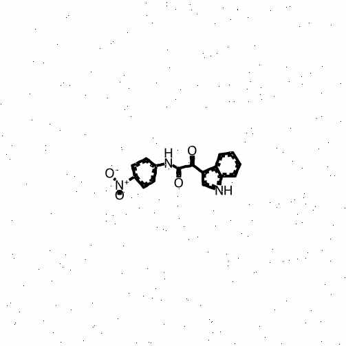 O=C(Nc1ccc([N+](=O)[O-])cc1)C(=O)c1c[nH]c2ccccc12